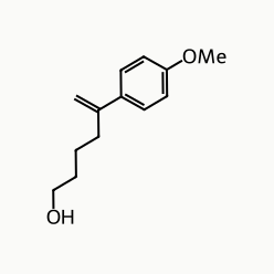 C=C(CCCCO)c1ccc(OC)cc1